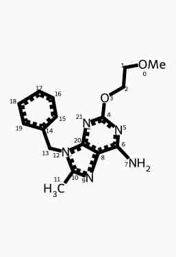 COCCOc1nc(N)c2nc(C)n(Cc3ccccc3)c2n1